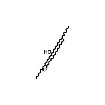 CCCCCCCCCCCCCCCCC(O)CCCCCCCCCCCCCCC.CCCCCCCCCCCCCCCCCCO